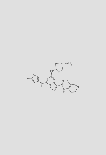 Cc1cc(Nc2cc(NC3CCC(N)CC3)nn3c(C(=O)Nc4ccncc4F)ccc23)no1